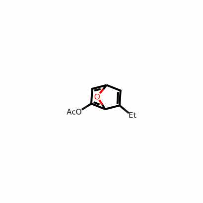 CCc1cc2cc(OC(C)=O)c1o2